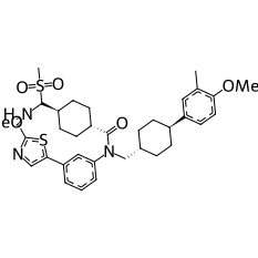 COc1ncc(-c2cccc(N(C[C@H]3CC[C@H](c4ccc(OC)c(C)c4)CC3)C(=O)[C@H]3CC[C@H](C(N)S(C)(=O)=O)CC3)c2)s1